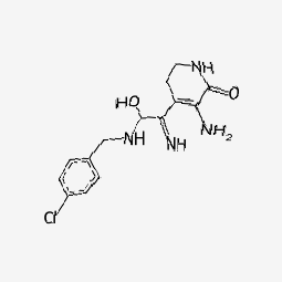 N=C(C1=C(N)C(=O)NCC1)C(O)NCc1ccc(Cl)cc1